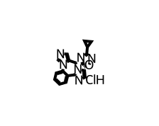 C1=C[N+]2(c3nc(C4CC4)no3)Cc3cncn3-c3ccccc3C2=N1.Cl